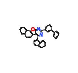 c1ccc(-c2cccc(-c3nc(-c4cccc5ccccc45)c4c(n3)oc3c5ccccc5ccc34)c2)cc1